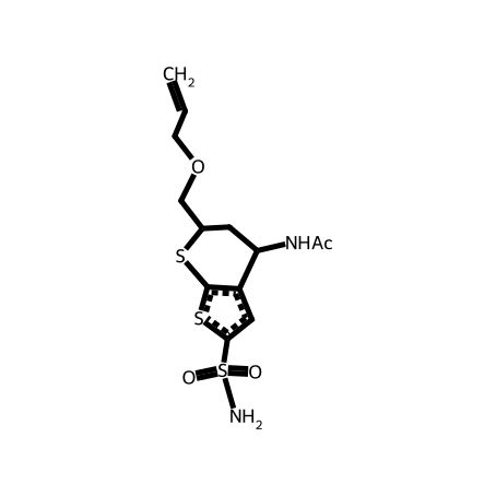 C=CCOCC1CC(NC(C)=O)c2cc(S(N)(=O)=O)sc2S1